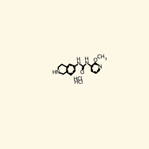 COc1ncccc1NC(=O)Nc1ccc2c(c1)CCNC2.Cl.Cl